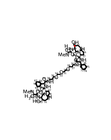 CN[C@@H](C)C(=O)N[C@@H]1C(=O)N2[C@@H](CC[C@@H]1CO)CC[C@H]2C(=O)N[C@H](C(=O)NCCCOCCOCCOCCCNC(=O)[C@@H](NC(=O)[C@@H]1CC[C@@H]2CC[C@H](CO)[C@H](NC(=O)[C@H](C)NC)C(=O)N21)c1ccccc1)c1ccccc1